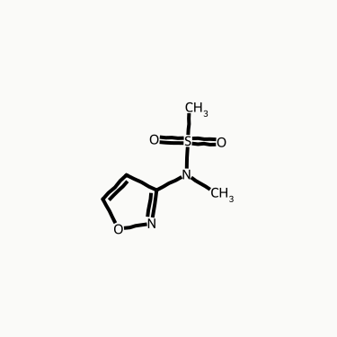 CN(c1ccon1)S(C)(=O)=O